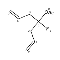 C=CCC(F)(CC=C)OC(C)=O